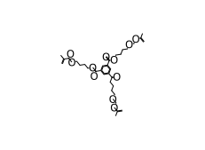 C=C(C)OCOCCCCOC(=O)c1cc(C(=O)CCCCOCOC(=C)C)cc(C(=O)OCCCCOC(=O)C(=C)C)c1